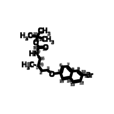 C[C@@H](CCOc1ccc2cc(Br)ccc2c1)CNC(=O)OC(C)(C)C